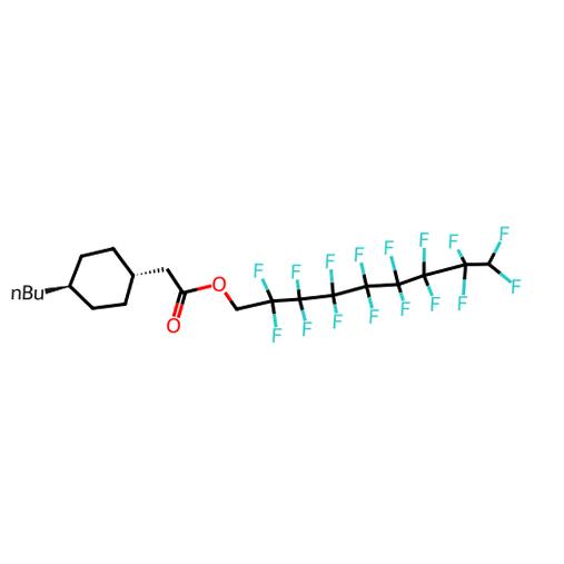 CCCC[C@H]1CC[C@H](CC(=O)OCC(F)(F)C(F)(F)C(F)(F)C(F)(F)C(F)(F)C(F)(F)C(F)(F)C(F)F)CC1